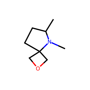 CC1CCC2(COC2)N1C